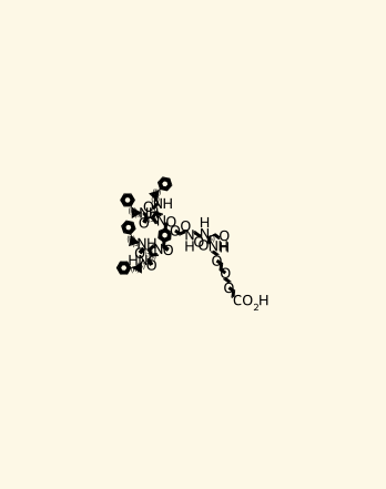 O=C(O)CCOCCOCCOCCNC(=O)[C@H](CCO)NC(=O)CNC(=O)COc1cc(C(=O)N2C[C@@H](C(=O)N[C@H]3C[C@@H]3c3ccccc3)[C@H](C(=O)N[C@H]3C[C@@H]3c3ccccc3)C2)ccc1C(=O)N1C[C@@H](C(=O)N[C@H]2C[C@@H]2c2ccccc2)[C@H](C(=O)N[C@H]2C[C@@H]2c2ccccc2)C1